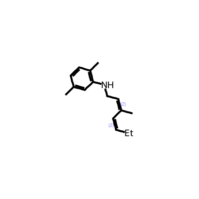 CC/C=C\C(C)=C/CNc1cc(C)ccc1C